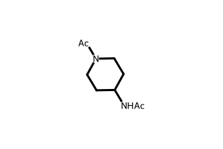 CC(=O)NC1CCN(C(C)=O)CC1